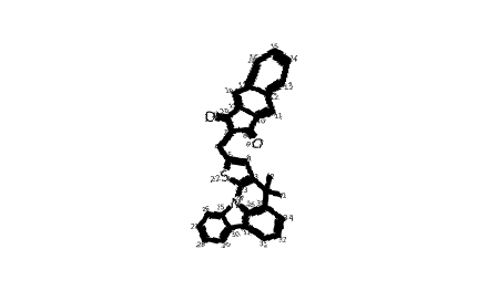 CC1(C)c2cc(C=C3C(=O)c4cc5ccccc5cc4C3=O)sc2-n2c3ccccc3c3cccc1c32